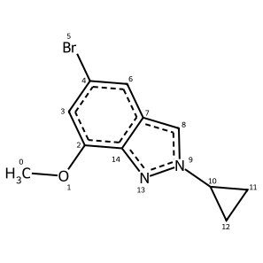 COc1cc(Br)cc2cn(C3CC3)nc12